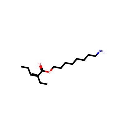 CCC=C(CC)C(=O)OCCCCCCCCN